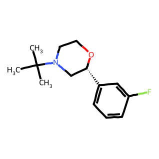 CC(C)(C)N1CCO[C@H](c2cccc(F)c2)C1